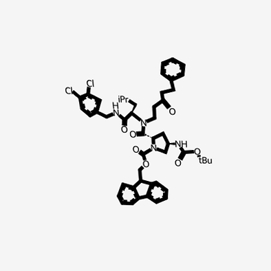 CC(C)C[C@H](C(=O)NCc1ccc(Cl)c(Cl)c1)N(CCC(=O)CCc1ccccc1)C(=O)[C@@H]1C[C@@H](NC(=O)OC(C)(C)C)CN1C(=O)OCC1c2ccccc2-c2ccccc21